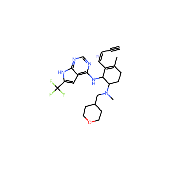 C#C/C=C\C1=C(C)CCC(N(C)CC2CCOCC2)C1Nc1ncnc2[nH]c(C(F)(F)F)cc12